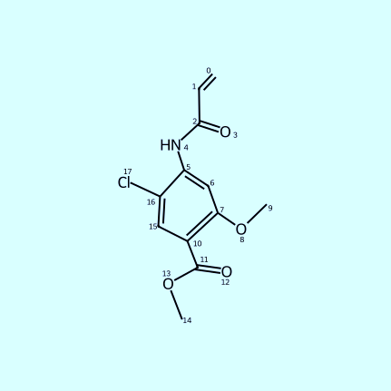 C=CC(=O)Nc1cc(OC)c(C(=O)OC)cc1Cl